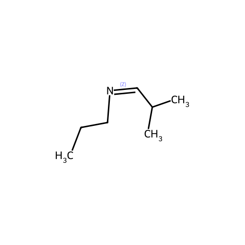 CCC/N=C\C(C)C